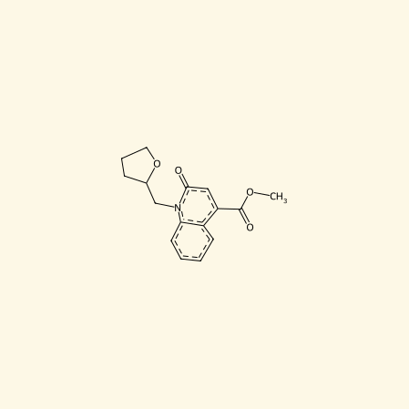 COC(=O)c1cc(=O)n(CC2CCCO2)c2ccccc12